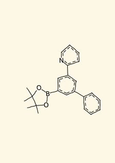 CC1(C)OB(c2cc(-c3ccccc3)cc(-c3ccccn3)c2)OC1(C)C